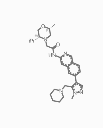 CC(C)[C@@H]1CO[C@H](C)CN1CC(=O)Nc1cc2cc(-c3cnn(C)c3CN3CCCCC3)ccc2cn1